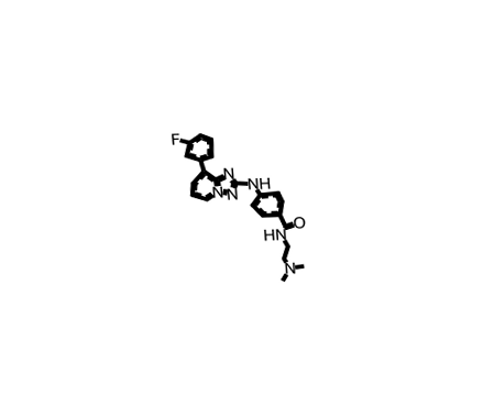 CN(C)CCNC(=O)c1ccc(Nc2nc3c(-c4cccc(F)c4)cccn3n2)cc1